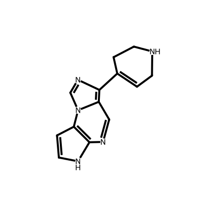 C1=C(c2ncn3c2cnc2[nH]ccc23)CCNC1